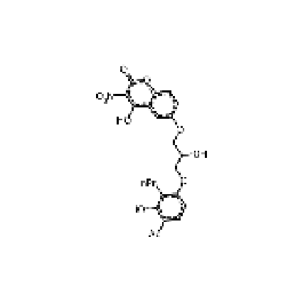 CCCc1c(OCC(O)COc2ccc3oc(=O)c([N+](=O)[O-])c(O)c3c2)ccc(C(C)=O)c1O